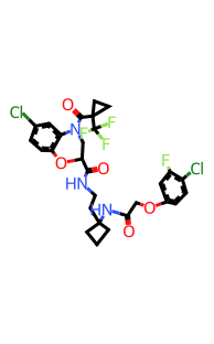 O=C(COc1ccc(Cl)c(F)c1)NC1(CCNC(=O)C2CN(C(=O)C3(C(F)(F)F)CC3)c3cc(Cl)ccc3O2)CCC1